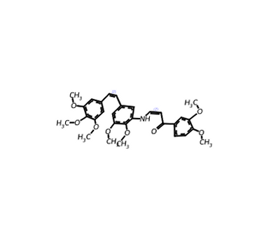 COc1ccc(C(=O)/C=C\Nc2cc(/C=C\c3cc(OC)c(OC)c(OC)c3)cc(OC)c2OC)cc1OC